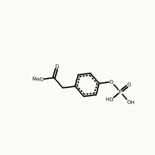 COC(=O)Cc1ccc(OP(=O)(O)O)cc1